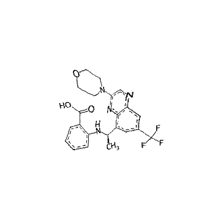 C[C@@H](Nc1ccccc1C(=O)O)c1cc(C(F)(F)F)cc2ncc(N3CCOCC3)nc12